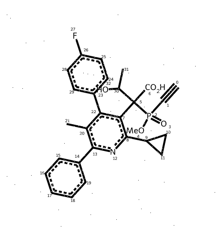 C#CP(=O)(OC)C(C(=O)O)(c1c(C2CC2)nc(-c2ccccc2)c(C)c1-c1ccc(F)cc1)C(C)O